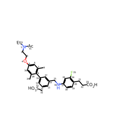 CCN(CCOc1cc(C)c(-c2cccc(CNc3ccc(CCC(=O)O)c(F)c3)c2)c(C)c1)C(C)=O.CS(=O)(=O)O